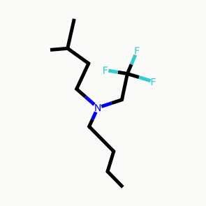 CCCCN(CCC(C)C)CC(F)(F)F